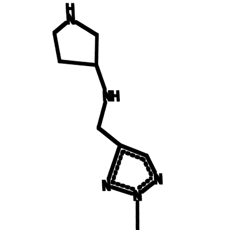 Cn1ncc(CNC2CCNC2)n1